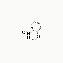 [O-][NH+]1C[CH]Oc2ccccc21